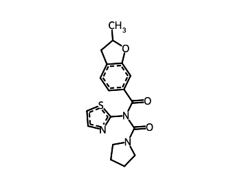 CC1Cc2ccc(C(=O)N(C(=O)N3CCCC3)c3nccs3)cc2O1